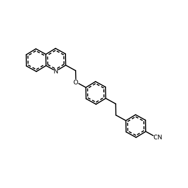 N#Cc1ccc(CCc2ccc(OCc3ccc4ccccc4n3)cc2)cc1